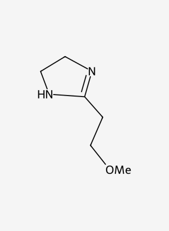 COCCC1=NCCN1